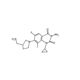 Cc1c(N2CCC(CN)C2)c(F)cc2c(=O)n(N)c(=O)n(C3CC3)c12